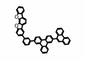 c1cc(-c2ccc3oc4c(ccc5c6ccccc6oc54)c3c2)cc(-c2ccc3c4ccc(-c5cc6ccccc6c6ccccc56)cc4c4ccccc4c3c2)c1